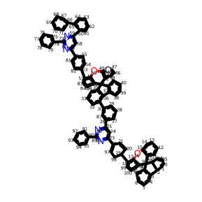 C1=CC2c3ccccc3C3(c4ccccc4Oc4c(C5C=CC(c6cc(-c7cccc(-c8cccc9c8-c8ccccc8C98c9ccccc9Oc9c(-c%10ccc(-c%11cc(-c%12ccccc%12-c%12ccccc%12)nc(-c%12ccccc%12)n%11)cc%10)cccc98)c7)nc(-c7ccccc7)n6)=CC5)cccc43)C2C=C1